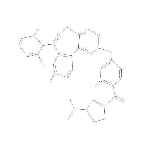 CN(C)C1CCN(C(=O)c2ccc(Nc3ncc4c(n3)-c3ccc(Cl)cc3C(c3c(F)cccc3F)=NC4)cc2Cl)C1